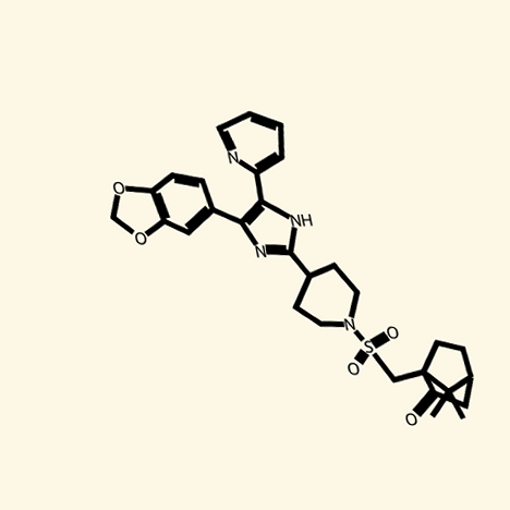 CC1(C)C2CCC1(CS(=O)(=O)N1CCC(c3nc(-c4ccc5c(c4)OCO5)c(-c4ccccn4)[nH]3)CC1)C(=O)C2